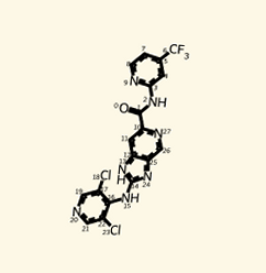 O=C(Nc1cc(C(F)(F)F)ccn1)c1cc2[nH]c(Nc3c(Cl)cncc3Cl)nc2cn1